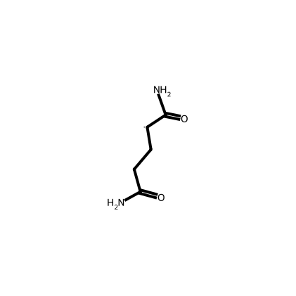 NC(=O)[CH]CCC(N)=O